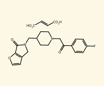 O=C(CN1CCC(CN2Cc3ccoc3C2=O)CC1)c1ccc(F)cc1.O=C(O)C=CC(=O)O